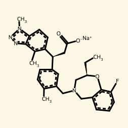 CC[C@@H]1CN(Cc2cc([C@H](CC(=O)[O-])c3ccc4c(nnn4C)c3C)ccc2C)Cc2cccc(F)c2O1.[Na+]